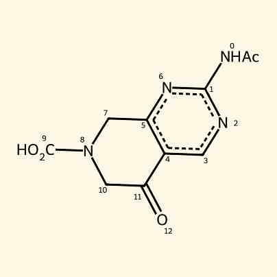 CC(=O)Nc1ncc2c(n1)CN(C(=O)O)CC2=O